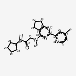 Cc1ccnc(-c2nc3c(c(N(C)CC(=O)NC4CCCC4)n2)CCC3)c1